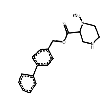 [CH2]CCCN1CCNCC1C(=O)OCc1ccc(-c2ccccc2)cc1